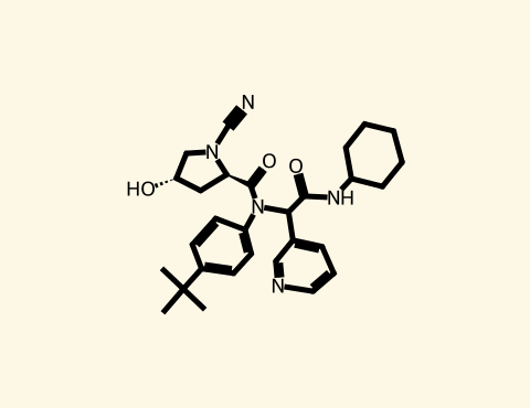 CC(C)(C)c1ccc(N(C(=O)[C@H]2C[C@H](O)CN2C#N)C(C(=O)NC2CCCCC2)c2cccnc2)cc1